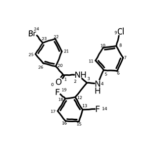 O=C(NC(Nc1ccc(Cl)cc1)c1c(F)cccc1F)c1ccc(Br)cc1